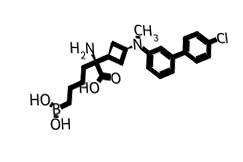 CN(c1cccc(-c2ccc(Cl)cc2)c1)[C@H]1C[C@H]([C@@](N)(CCCCB(O)O)C(=O)O)C1